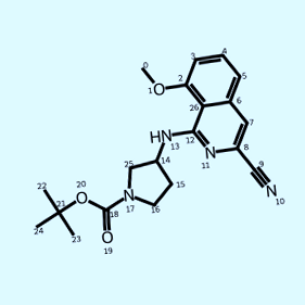 COc1cccc2cc(C#N)nc(NC3CCN(C(=O)OC(C)(C)C)C3)c12